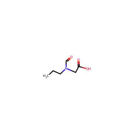 CCCN([C]=O)CC(=O)O